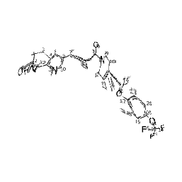 O=C1CCc2cc(C=CC(=O)N3CC=C(COc4ccc(OC(F)(F)F)cc4)CC3)cnc2N1